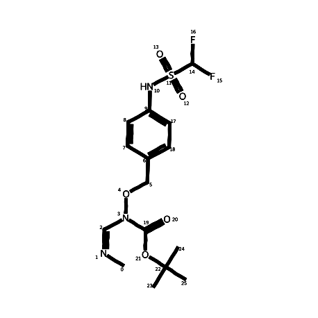 C/N=C\N(OCc1ccc(NS(=O)(=O)C(F)F)cc1)C(=O)OC(C)(C)C